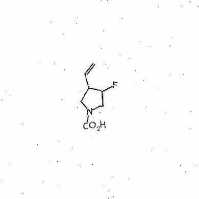 C=CC1CN(C(=O)O)CC1F